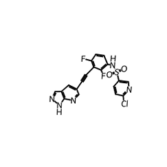 O=S(=O)(Nc1ccc(F)c(C#Cc2cnc3[nH]ncc3c2)c1F)c1ccc(Cl)nc1